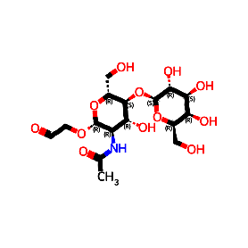 CC(=O)N[C@H]1[C@H](OCC=O)O[C@H](CO)[C@@H](O[C@@H]2O[C@H](CO)[C@H](O)[C@H](O)[C@H]2O)[C@@H]1O